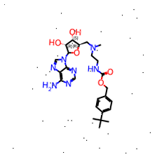 CN(CCNC(=O)OCc1ccc(C(C)(C)C)cc1)C[C@H]1OC(n2cnc3c(N)ncnc32)[C@H](O)[C@@H]1O